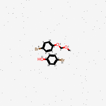 COCOc1ccc(Br)cc1.Oc1ccc(Br)cc1